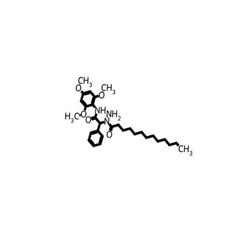 CCCCCCCCCCCCC(=O)N(N)C(C(=O)Nc1c(OC)cc(OC)cc1OC)c1ccccc1